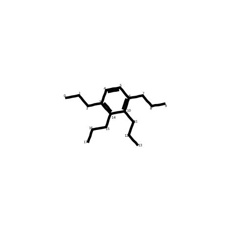 CCCc1ccc(CCC)c(CCC)c1CCC